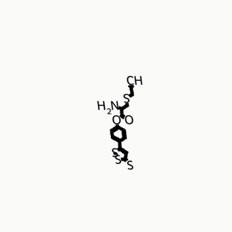 C#CCSCC(N)C(=O)Oc1ccc(-c2cc(=S)ss2)cc1